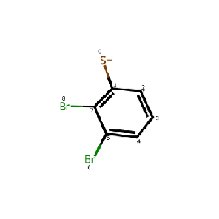 Sc1[c]ccc(Br)c1Br